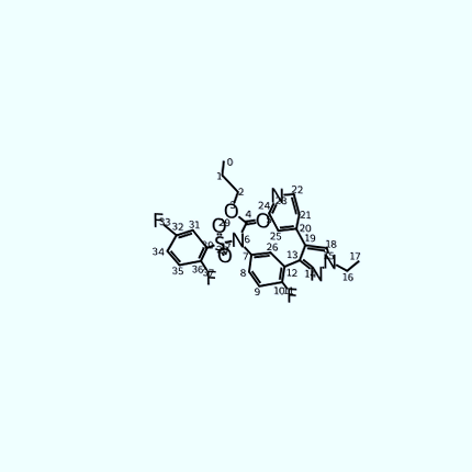 CCCOC(=O)N(c1ccc(F)c(-c2nn(CC)cc2-c2ccncc2)c1)S(=O)(=O)c1cc(F)ccc1F